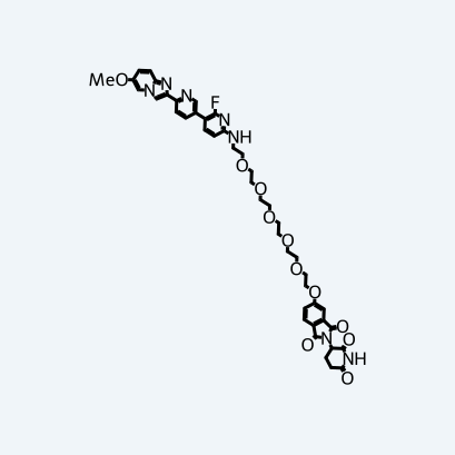 COc1ccc2nc(-c3ccc(-c4ccc(NCCOCCOCCOCCOCCOCCOc5ccc6c(c5)C(=O)N(C5CCC(=O)NC5=O)C6=O)nc4F)cn3)cn2c1